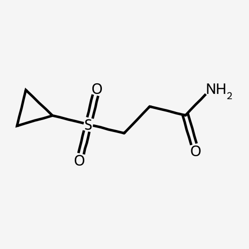 NC(=O)CCS(=O)(=O)C1CC1